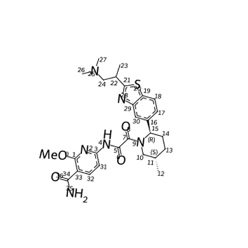 COc1nc(NC(=O)C(=O)N2C[C@@H](C)CC[C@@H]2c2ccc3sc(C(C)CN(C)C)nc3c2)ccc1C(N)=O